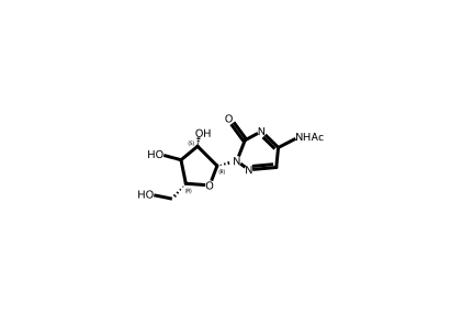 CC(=O)Nc1cnn([C@@H]2O[C@H](CO)C(O)[C@@H]2O)c(=O)n1